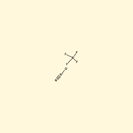 F[B-](F)(F)F.N#[N+][O-]